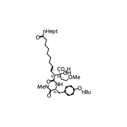 CCCCCCCC(=O)CCCCCC/C=C/[C@H](C(=O)N[C@@H](Cc1ccc(OCCCC)cc1)C(=O)NC)[C@@](O)(CCOC)C(=O)O